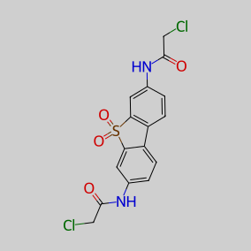 O=C(CCl)Nc1ccc2c(c1)S(=O)(=O)c1cc(NC(=O)CCl)ccc1-2